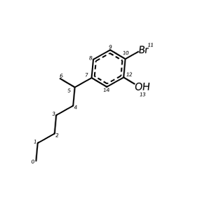 CCCCCC(C)c1ccc(Br)c(O)c1